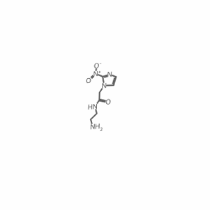 NCCNC(=O)Cn1ccnc1[N+](=O)[O-]